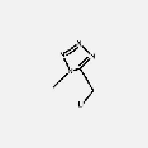 [Li][CH2]c1nnnn1C